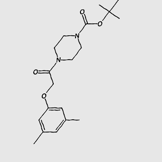 Cc1cc(C)cc(OCC(=O)N2CCN(C(=O)OC(C)(C)C)CC2)c1